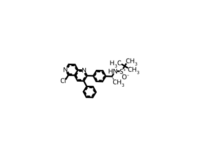 C[C@@H](N[S+]([O-])C(C)(C)C)c1ccc(-c2nc3ccnc(Cl)c3cc2-c2ccccc2)cc1